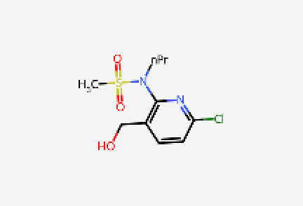 CCCN(c1nc(Cl)ccc1CO)S(C)(=O)=O